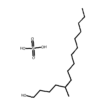 CCCCCCCCCCC(C)CCCCO.O=S(=O)(O)O